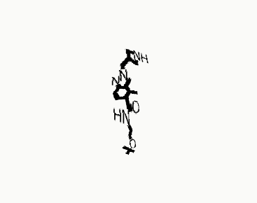 Cc1c(C(=O)NCCOC(C)(C)C)ccc2nn(CC3CNC3)cc12